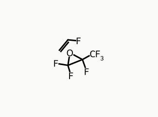 C=CF.FC(F)(F)C1(F)OC1(F)F